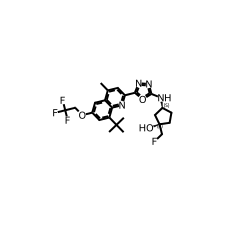 Cc1cc(-c2nnc(N[C@H]3CC[C@](O)(CF)C3)o2)nc2c(C(C)(C)C)cc(OCC(F)(F)F)cc12